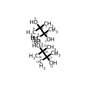 B.B.CC(C)(O)C(C)(C)O.CC(C)(O)C(C)(C)O